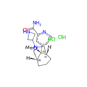 CO[C@]1(c2ccnc(C(N)=O)c2)[C@@H]2CCC[C@H]1CN(C1CNC1)C2.Cl.Cl